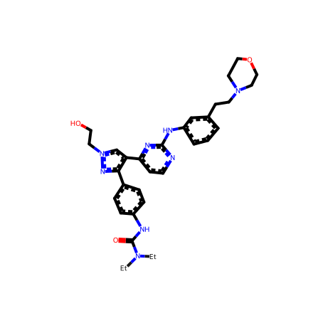 CCN(CC)C(=O)Nc1ccc(-c2nn(CCO)cc2-c2ccnc(Nc3cccc(CCN4CCOCC4)c3)n2)cc1